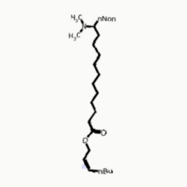 CCCC/C=C\COC(=O)CCCCCCCCCCC(CCCCCCCCC)N(C)C